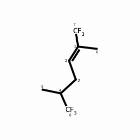 C/C(=C\CC(C)C(F)(F)F)C(F)(F)F